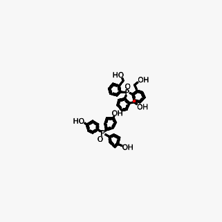 O=P(c1ccc(O)cc1)(c1ccc(O)cc1)c1ccc(O)cc1.O=P(c1ccccc1CO)(c1ccccc1CO)c1ccccc1CO